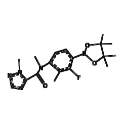 Cc1c(N(C)C(=O)c2ccnn2C)ccc(B2OC(C)(C)C(C)(C)O2)c1F